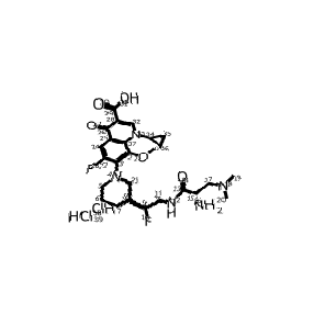 COc1c(N2CCC/C(=C(\F)CNC(=O)[C@@H](N)CN(C)C)C2)c(F)cc2c(=O)c(C(=O)O)cn(C3CC3)c12.Cl.Cl